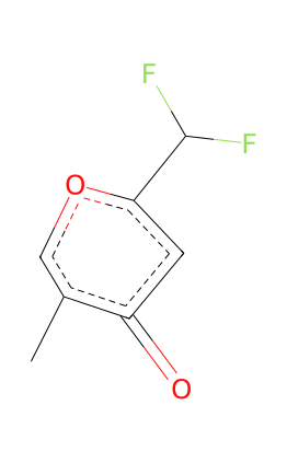 Cc1coc(C(F)F)cc1=O